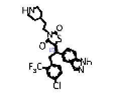 O=C1S/C(=C(/Cc2ccc(Cl)cc2C(F)(F)F)c2ccc3[nH]ncc3c2)C(=O)N1CCC1CCNCC1